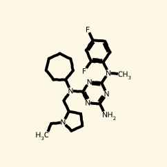 CCN1CCCC1CN(c1nc(N)nc(N(C)c2ccc(F)cc2F)n1)C1CCCCCC1